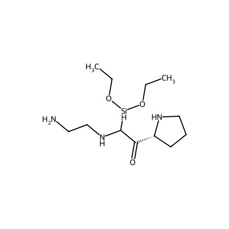 CCO[SiH](OCC)C(NCCN)C(=O)[C@H]1CCCN1